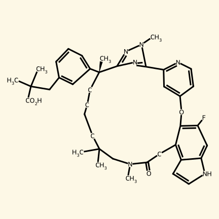 CN1CC(C)(C)CCCC[C@](C)(c2cccc(CC(C)(C)C(=O)O)c2)c2nc(n(C)n2)-c2cc(ccn2)Oc2c(F)cc3[nH]ccc3c2CC1=O